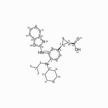 CC(C)CN(c1ccc([C@H]2C[C@H]2C(=O)O)cc1Nc1nc2ccccc2o1)C1CCCCC1